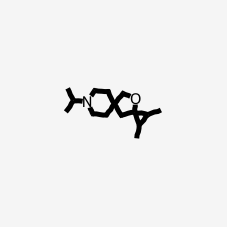 CC(C)N1CCC2(CC1)COC1(C2)C(C)C1C